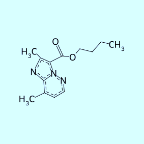 CCCCOC(=O)c1c(C)nc2c(C)ccnn12